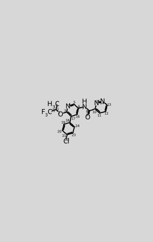 CC(Oc1ncc(NC(=O)c2cccnn2)cc1-c1ccc(Cl)cc1)C(F)(F)F